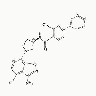 Nc1noc2c(N3CC[C@@H](NC(=O)c4ccc(-c5ccnnc5)cc4Cl)C3)ncc(Cl)c12